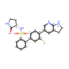 O=C1NCC[C@@H]1NS(=O)(=O)c1ccccc1-c1ccc(-c2cnc3c(c2)CCN3)c(F)c1